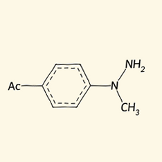 CC(=O)c1ccc(N(C)N)cc1